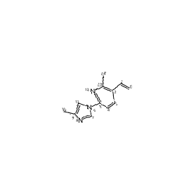 C=Cc1ccc(-n2cnc(C)c2)nc1C